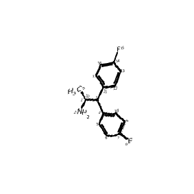 C[C@H](N)C(c1ccc(F)cc1)c1ccc(F)cc1